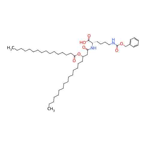 CCCCCCCCCCCCCCCC(=O)OC(CCCCCCCCCCCCCCC)CC(=O)N[C@@H](CCCCNC(=O)OCc1ccccc1)C(=O)O